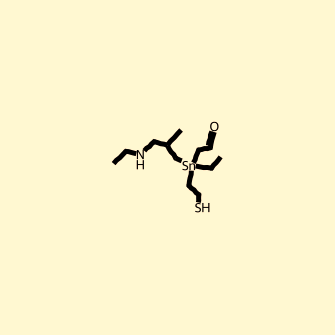 CCNCC(C)[CH2][Sn]([CH2]C)([CH2]C=O)[CH2]CS